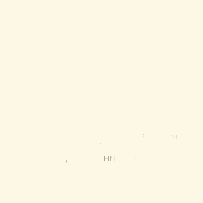 CC(C)(C)OC(=O)NOC(=O)CCc1ccc(I)cc1